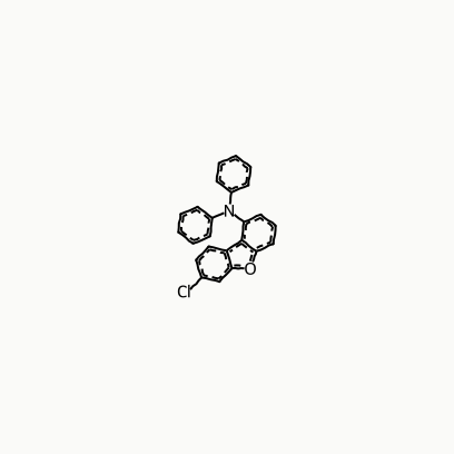 Clc1ccc2c(c1)oc1cccc(N(c3ccccc3)c3ccccc3)c12